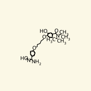 CC(C)N(C(=O)c1ccc(OCCCCCOc2ccc(/C(N)=N\O)cc2)c(O)c1)C(C)C